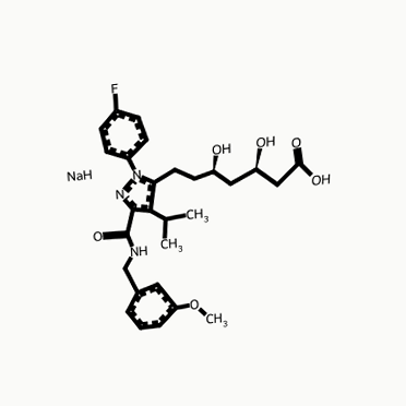 COc1cccc(CNC(=O)c2nn(-c3ccc(F)cc3)c(CC[C@@H](O)C[C@@H](O)CC(=O)O)c2C(C)C)c1.[NaH]